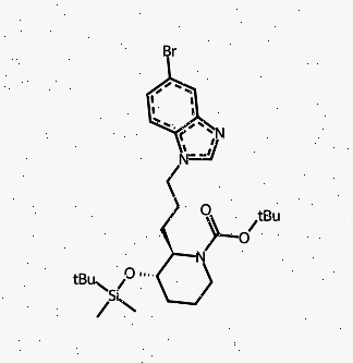 CC(C)(C)OC(=O)N1CCC[C@H](O[Si](C)(C)C(C)(C)C)[C@H]1CCCn1cnc2cc(Br)ccc21